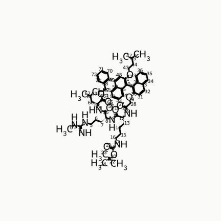 CNC(=N)NCCC[C@@H](NC(=O)[C@@H](CCCCNC(=O)OC(C)(C)C)NC(=O)COc1ccc2ccccc2c1-c1c(OCCC(C)C)ccc2ccccc12)C(=O)N[C@@H](CC(C)C)C(=O)OCc1ccccc1